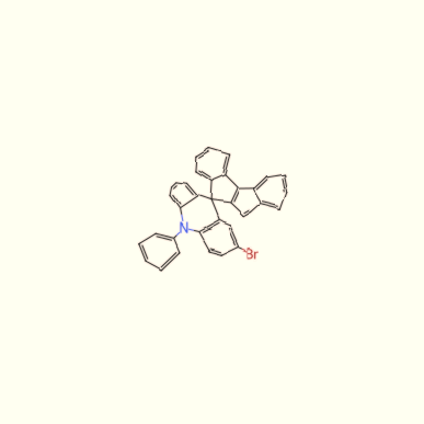 Brc1ccc2c(c1)C1(c3ccccc3-c3c1ccc1ccccc31)c1ccccc1N2c1ccccc1